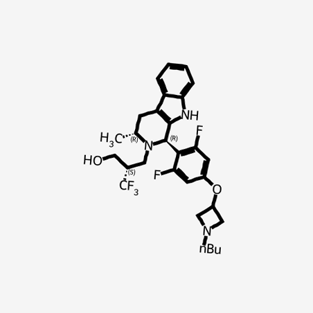 CCCCN1CC(Oc2cc(F)c([C@@H]3c4[nH]c5ccccc5c4C[C@@H](C)N3C[C@@H](CO)C(F)(F)F)c(F)c2)C1